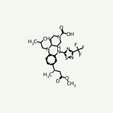 COC(=O)C[C@@H](C)c1ccc(N(CC(C)C)C2CCN(C(=O)O)CC2)c(Nc2nc(C(F)(F)F)ns2)c1